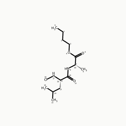 CCCCOC(=O)[C@H](C)NC(=O)[C@H](CC(C)C)NCl